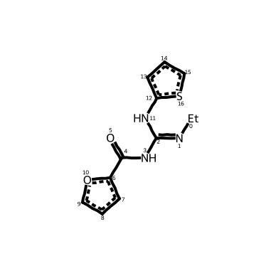 CCN=C(NC(=O)c1ccco1)Nc1cccs1